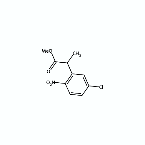 COC(=O)C(C)c1cc(Cl)ccc1[N+](=O)[O-]